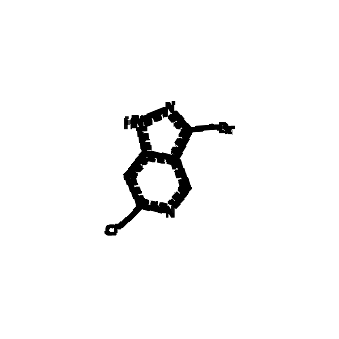 Clc1cc2[nH]nc(Br)c2cn1